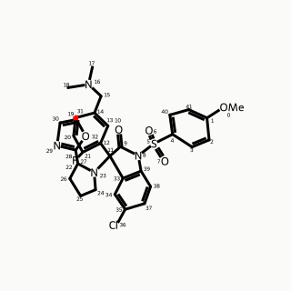 COc1ccc(S(=O)(=O)N2C(=O)C(c3cc(CN(C)C)ccc3F)(N3CCCC3c3ncco3)c3cc(Cl)ccc32)cc1